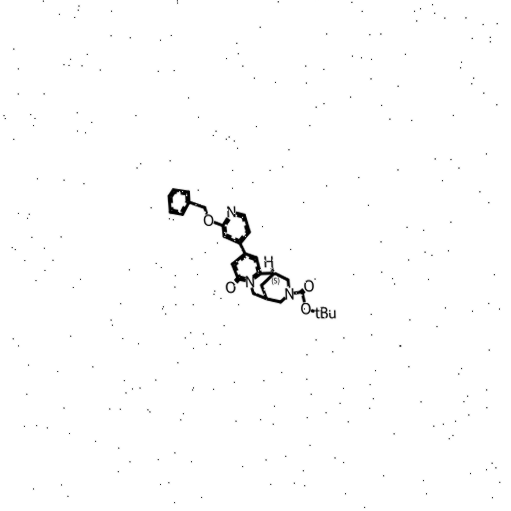 CC(C)(C)OC(=O)N1CC2C[C@@H](C1)c1cc(-c3ccnc(OCc4ccccc4)c3)cc(=O)n1C2